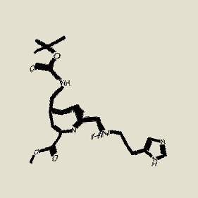 COC(=O)c1cc(CNC(=O)OC(C)(C)C)cc(CNCCc2cnc[nH]2)n1